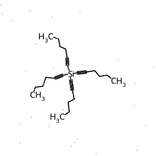 CCCCC#C[Si](C#CCCCC)(C#CCCCC)C#CCCCC